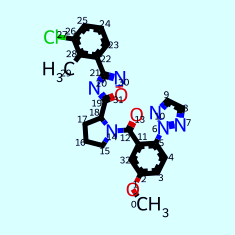 COc1ccc(-n2nccn2)c(C(=O)N2CCCC2c2nc(-c3cccc(Cl)c3C)no2)c1